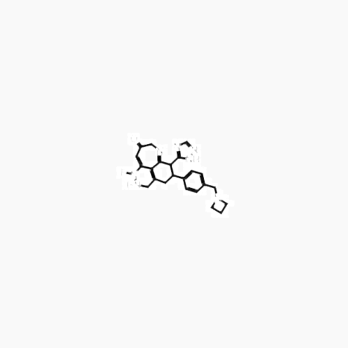 O=C1C=C2C3=C(CNN2F)CC(c2ccc(CN4CCC4)cc2)C(c2ncn[nH]2)C3=NC1